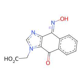 O=C(O)Cn1cnc2c1C(=O)c1ccccc1/C2=N\O